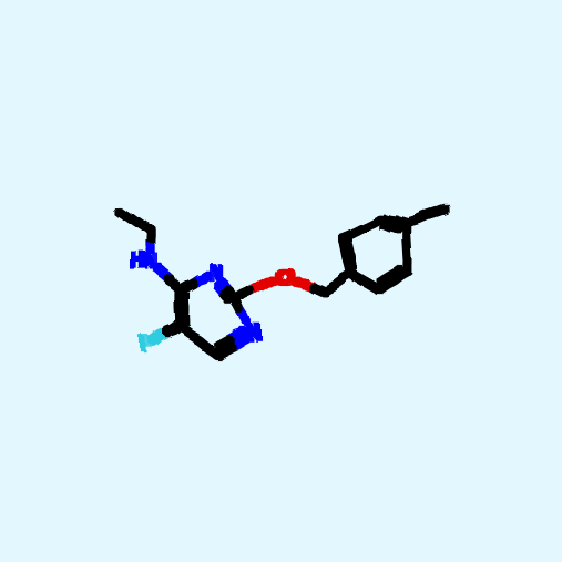 CCNc1nc(OCc2ccc(C)cc2)ncc1F